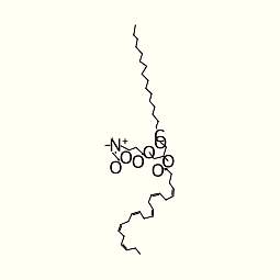 CC/C=C\C/C=C\C/C=C\C/C=C\C/C=C\C/C=C\CCC(=O)OC(COCCCCCCCCCCCCCCCCC)COC(=O)CC(C[N+](C)(C)C)OC(C)=O